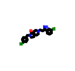 NC(CCN1CCC2(CC1)CCN(Cc1ccc(Br)cc1)C2=O)c1cccc(Cl)c1